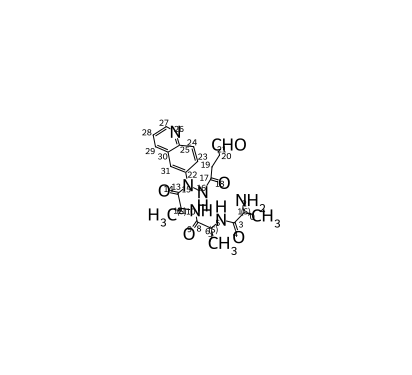 C[C@H](N)C(=O)N[C@@H](C)C(=O)N[C@@H](C)C(=O)N(NC(=O)CCC=O)c1ccc2ncccc2c1